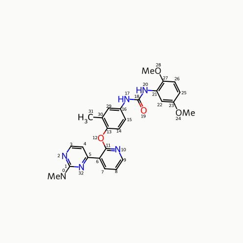 CNc1nccc(-c2cccnc2Oc2ccc(NC(=O)Nc3cc(OC)ccc3OC)cc2C)n1